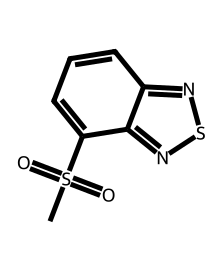 CS(=O)(=O)c1cccc2nsnc12